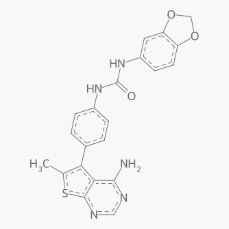 Cc1sc2ncnc(N)c2c1-c1ccc(NC(=O)Nc2ccc3c(c2)OCO3)cc1